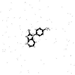 Cc1ccc(-n2c(Br)nc3ncccc32)cc1